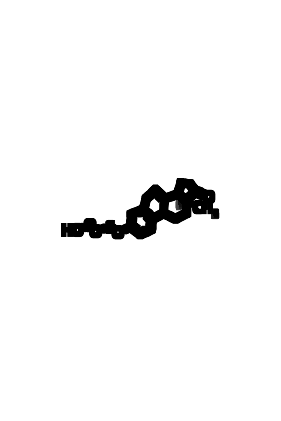 C[C@]12CCC3C(=CCc4cc(OSOOO)ccc43)C1CCC2=O